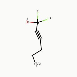 CCCCCCC#CC(F)(F)Br